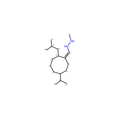 CNN/C=C1/CCC(C(C)C)CCCC1CC(C)C